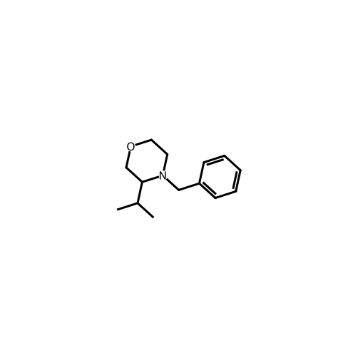 CC(C)C1COCCN1Cc1ccccc1